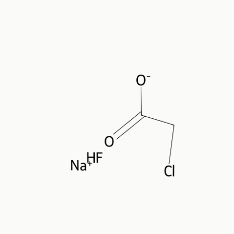 F.O=C([O-])CCl.[Na+]